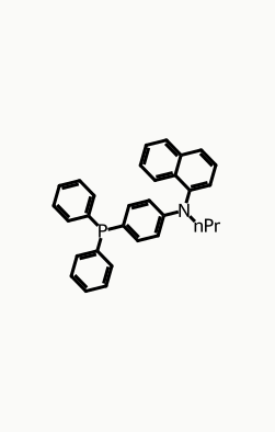 CCCN(c1ccc(P(c2ccccc2)c2ccccc2)cc1)c1cccc2ccccc12